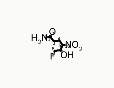 NC(=O)CCC(C(O)CF)[N+](=O)[O-]